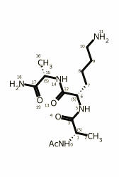 CC(=O)N[C@@H](C)C(=O)N[C@@H](CCCCN)C(=O)N[C@@H](C)C(N)=O